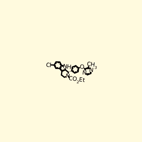 CCOC(=O)N1CCc2c([nH]c3ccc(Cl)cc23)[C@@H]1c1ccc(Oc2nccnc2C)cc1